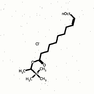 CCCCCCCC/C=C\CCCCCCCC(=O)OC(C)[N+](C)(C)C.[Cl-]